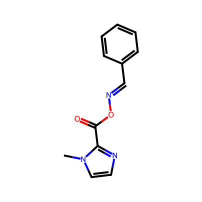 Cn1ccnc1C(=O)ON=Cc1ccccc1